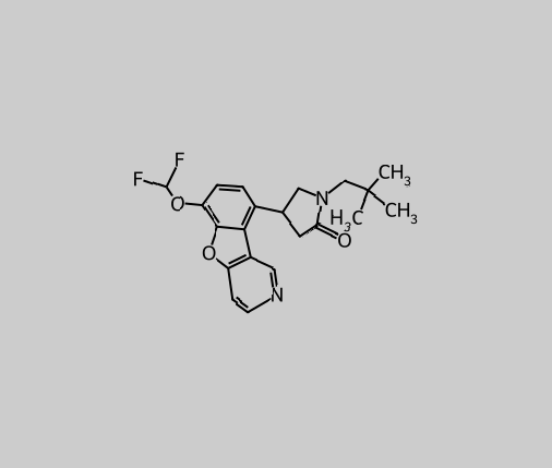 CC(C)(C)CN1CC(c2ccc(OC(F)F)c3oc4ccncc4c23)CC1=O